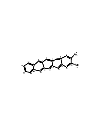 CC(=O)c1cc2cc3cc4cc5ccccc5cc4cc3cc2cc1C(C)=O